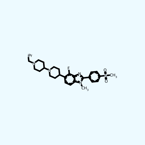 CC(C)CN1CCC(N2CCC(c3ccc4c(nc(-c5ccc(S(C)(=O)=O)cc5)n4C)c3F)CC2)CC1